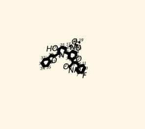 CNC(=O)c1c(-c2ccc(F)cc2)oc2cc(N(C)S(C)(=O)=O)c(-c3ccc(O)c(-c4cc5ccccc5o4)n3)cc12